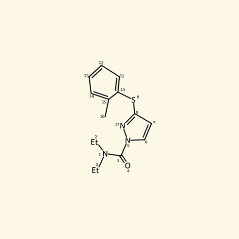 CCN(CC)C(=O)n1ccc(Sc2ccccc2C)n1